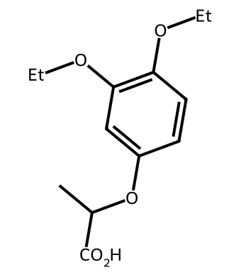 CCOc1ccc(OC(C)C(=O)O)cc1OCC